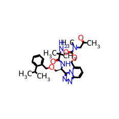 CC(=O)CN(C)C(=O)OCc1cccc2nnc([C@@H](COCc3ccccc3C(C)C)NC(=O)C(C)(C)N)n12